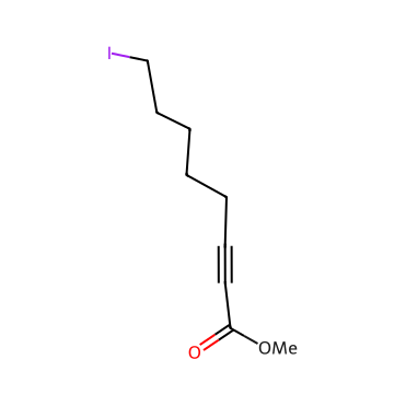 COC(=O)C#CCCCCCI